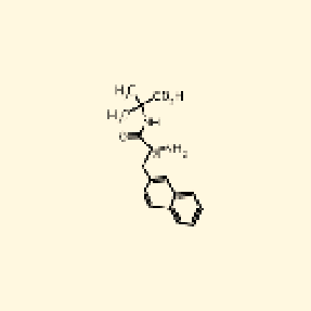 CC(C)(NC(=O)[C@@H](N)Cc1ccc2ccccc2c1)C(=O)O